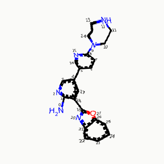 Nc1ncc(-c2ccc(N3CCNCC3)nc2)cc1-c1nc2ccccc2o1